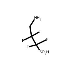 NCC(F)(F)C(F)(F)S(=O)(=O)O